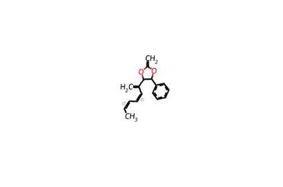 C=C1OC(C(=C)/C=C\C=C/C)C(c2ccccc2)O1